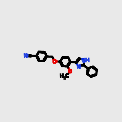 COc1cc(OCc2ccc(C#N)cc2)ccc1-c1c[nH]c(-c2ccccc2)n1